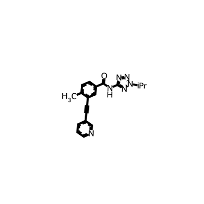 Cc1ccc(C(=O)Nc2nnn(C(C)C)n2)cc1C#Cc1cccnc1